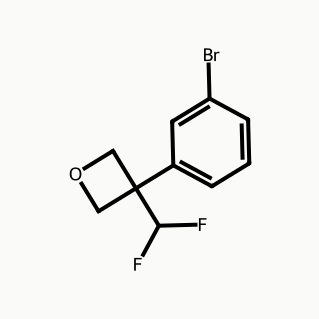 FC(F)C1(c2cccc(Br)c2)COC1